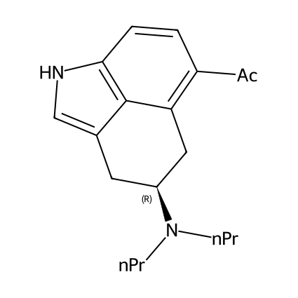 CCCN(CCC)[C@H]1Cc2c[nH]c3ccc(C(C)=O)c(c23)C1